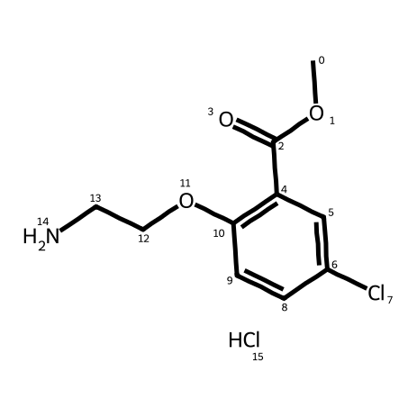 COC(=O)c1cc(Cl)ccc1OCCN.Cl